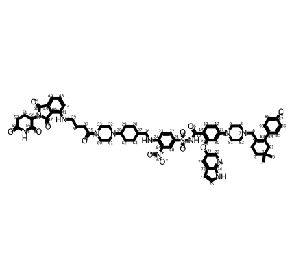 CC1(C)CCC(CN2CCN(c3ccc(C(=O)NS(=O)(=O)c4ccc(NCC5CCC(N6CCN(C(=O)CCCNc7cccc8c7C(=O)N(C7CCC(=O)NC7=O)C8=O)CC6)CC5)c([N+](=O)[O-])c4)c(Oc4cnc5[nH]ccc5c4)c3)CC2)=C(c2ccc(Cl)cc2)C1